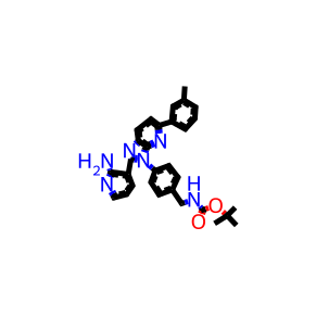 Cc1cccc(-c2ccc3nc(-c4cccnc4N)n(-c4ccc(CNC(=O)OC(C)(C)C)cc4)c3n2)c1